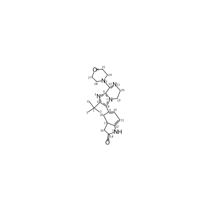 CC(C)(C)c1nc2n(c1C1=CC=C3NC(=O)CC3C1)CCN=C2N1CCOCC1